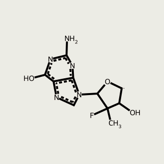 CC1(F)C(O)[CH]OC1n1cnc2c(O)nc(N)nc21